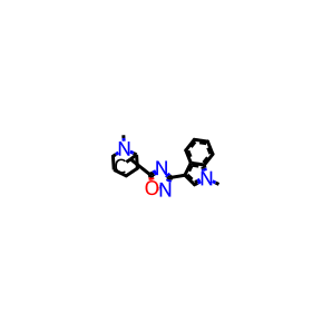 CN1CC2CCC1C(c1nc(-c3cn(C)c4ccccc34)no1)C2